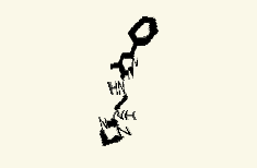 Cc1cc(-c2ccccc2)nnc1NCCNc1ncccn1